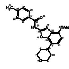 COc1ccc(N2CCOCC2)c2oc(NC(=O)c3ccc(C)nc3)nc12